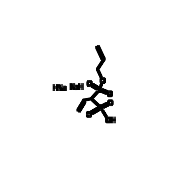 C=CCOS(=O)(=O)C(C=C)S(=O)(=O)O.[NaH].[NaH]